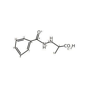 CC(NNC(=O)c1ccccc1)C(=O)O